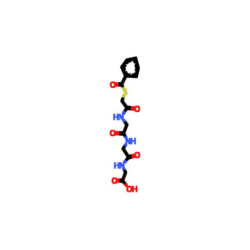 O=C(O)CNC(=O)CNC(=O)CNC(=O)CSC(=O)c1ccccc1